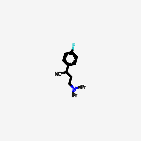 CC(C)N(CCC(C#N)c1ccc(F)cc1)C(C)C